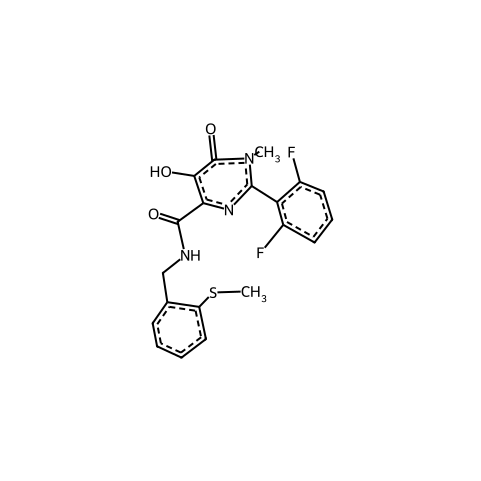 CSc1ccccc1CNC(=O)c1nc(-c2c(F)cccc2F)n(C)c(=O)c1O